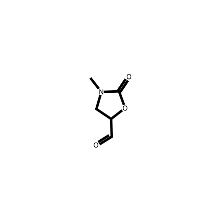 CN1CC(C=O)OC1=O